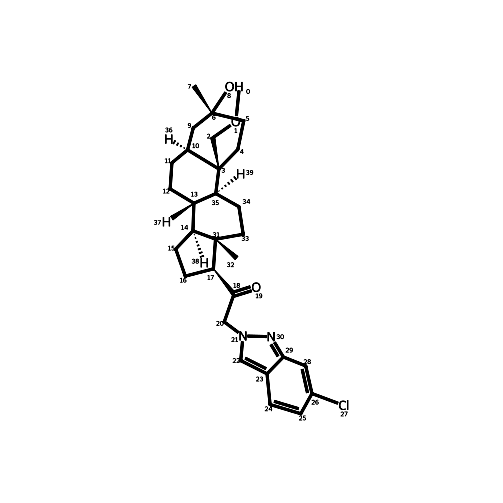 COC[C@]12CC[C@@](C)(O)C[C@@H]1CC[C@H]1[C@@H]3CC[C@H](C(=O)Cn4cc5ccc(Cl)cc5n4)[C@@]3(C)CC[C@@H]12